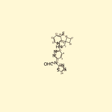 O=CN(c1ccc(NCC2(c3ncccc3F)CCC2)nn1)c1nncs1